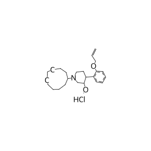 C=CCOc1ccccc1C1CCN(C2CCCCCCCCC2)CC1OC.Cl